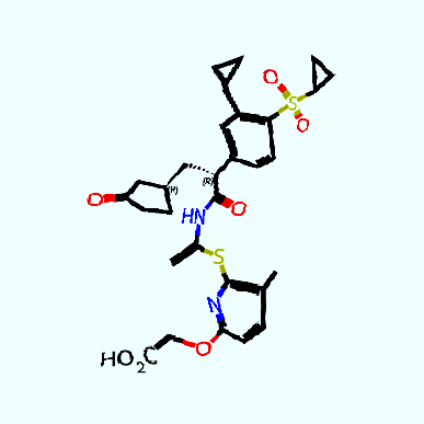 C=C(NC(=O)[C@H](C[C@H]1CCC(=O)C1)c1ccc(S(=O)(=O)C2CC2)c(C2CC2)c1)Sc1nc(OCC(=O)O)ccc1C